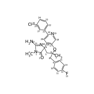 CN1C(=O)C2(C[C@@](C)(Cc3ccc(F)cc3)Oc3cnc(-c4cccc(Cl)c4)cc32)N=C1N